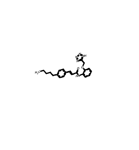 CCCCCc1ccc(C=CC(=O)Nc2ccccc2OCc2nnn[nH]2)cc1